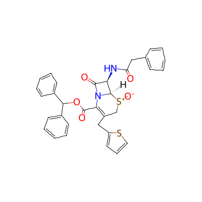 O=C(Cc1ccccc1)N[C@@H]1C(=O)N2C(C(=O)OC(c3ccccc3)c3ccccc3)=C(Cc3cccs3)C[S+]([O-])[C@H]12